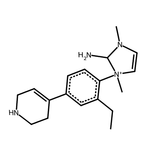 CCc1cc(C2=CCNCC2)ccc1[N+]1(C)C=CN(C)C1N